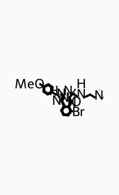 COc1ccc(-c2nc3c4cccc(Br)c4nc([C@](C)(N)C(=O)NCCCN(C)C)n3n2)cc1